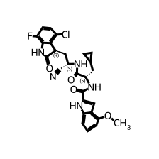 COc1cccc2[nH]c(C(=O)N[C@@H](CC3CC3)C(=O)N[C@H](C#N)C[C@H]3C(=O)Nc4c(F)ccc(Cl)c43)cc12